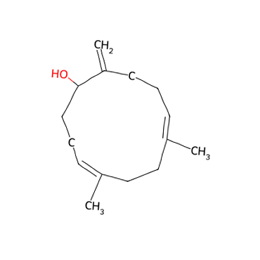 C=C1CCC=C(C)CCC(C)=CCCC1O